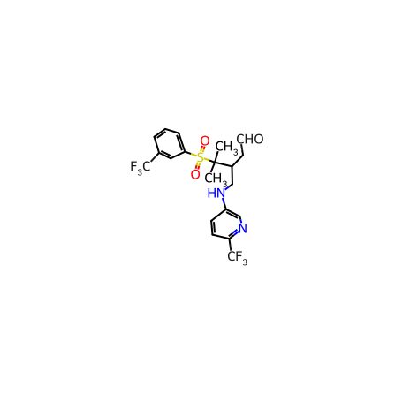 CC(C)(C(CC=O)CNc1ccc(C(F)(F)F)nc1)S(=O)(=O)c1cccc(C(F)(F)F)c1